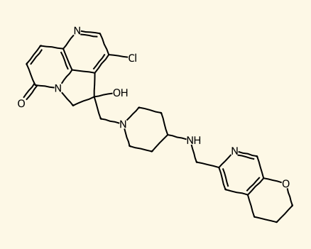 O=c1ccc2ncc(Cl)c3c2n1CC3(O)CN1CCC(NCc2cc3c(cn2)OCCC3)CC1